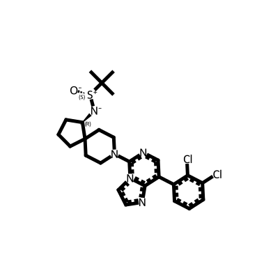 CC(C)(C)[S@@+]([O-])[N-][C@@H]1CCCC12CCN(c1ncc(-c3cccc(Cl)c3Cl)c3nccn13)CC2